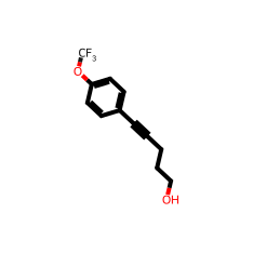 OCCCC#Cc1ccc(OC(F)(F)F)cc1